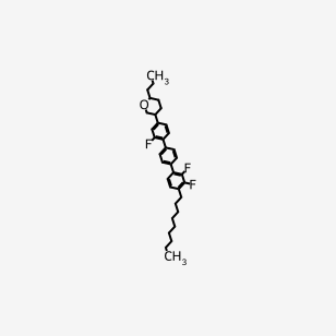 CCCCCCCCCc1ccc(-c2ccc(-c3ccc(C4CCC(CCC)OC4)cc3F)cc2)c(F)c1F